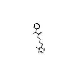 CC(C(=O)CCCSc1nnnn1C)c1ccccc1